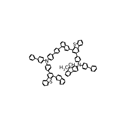 CC1(C)c2ccccc2-c2ccc(N(c3ccc(-c4ccccc4)cc3)c3ccc(-c4cc(-c5ccc6c(-c7ccc(-c8ccc(N(c9ccc(-c%10ccccc%10)cc9)c9ccc(-c%10cc(-c%11ccc%12ccccc%12c%11)c%11sc%12ccccc%12c%11c%10)cc9)cc8)cc7)cccc6c5)c5sc6ccccc6c5c4)cc3)cc21